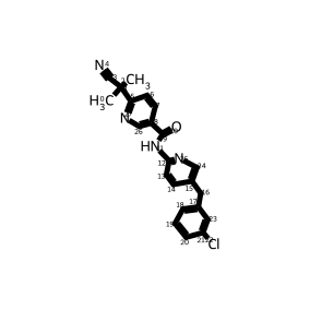 CC(C)(C#N)c1ccc(C(=O)Nc2ccc(Cc3cccc(Cl)c3)cn2)cn1